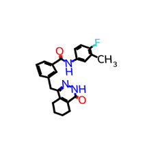 Cc1cc(NC(=O)c2cccc(Cc3n[nH]c(=O)c4c3CCCC4)c2)ccc1F